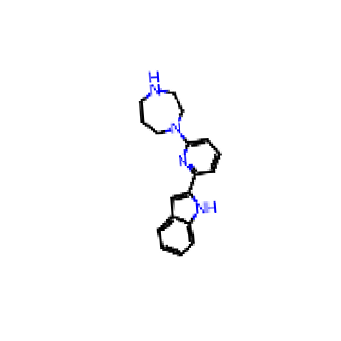 c1cc(-c2cc3ccccc3[nH]2)nc(N2CCCNCC2)c1